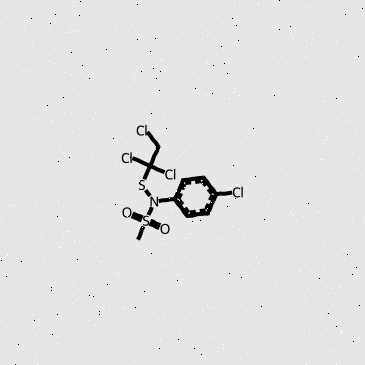 CS(=O)(=O)N(SC(Cl)(Cl)CCl)c1ccc(Cl)cc1